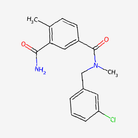 Cc1ccc(C(=O)N(C)Cc2cccc(Cl)c2)cc1C(N)=O